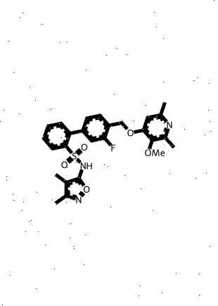 COc1c(OCc2ccc(-c3ccccc3S(=O)(=O)Nc3onc(C)c3C)cc2F)cc(C)nc1C